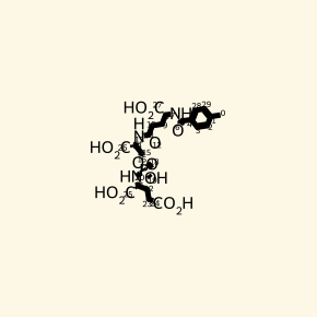 Cc1ccc(C(=O)N[C@@H](CCC(=O)N[C@@H](COP(=O)(O)N[C@@H](CCC(=O)O)C(=O)O)C(=O)O)C(=O)O)cc1